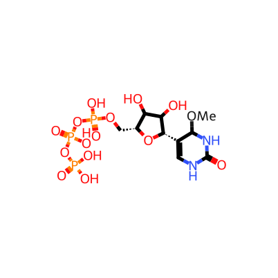 COC1NC(=O)NC=C1[C@@H]1O[C@H](COP(=O)(O)OP(=O)(O)OP(=O)(O)O)C(O)C1O